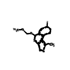 COCOc1nc2snc(C)c2c2ccc(F)cc12